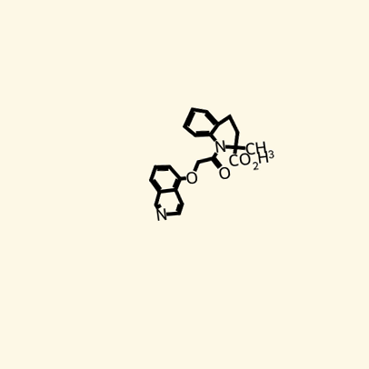 CC1(C(=O)O)CCc2ccccc2N1C(=O)COc1cccc2cnccc12